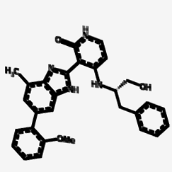 COc1ccccc1-c1cc(C)c2nc(-c3c(N[C@H](CO)Cc4ccccc4)cc[nH]c3=O)[nH]c2c1